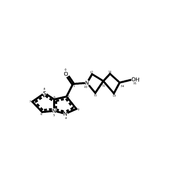 O=C(c1cnn2ccsc12)N1CC2(CC(O)C2)C1